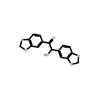 O=C(c1ccc2c(c1)OCO2)C(O)c1ccc2c(c1)OCO2